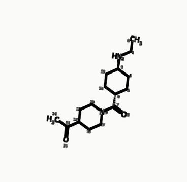 CCN[C@H]1CC[C@H](C(=O)N2CCC(C(C)=O)CC2)CC1